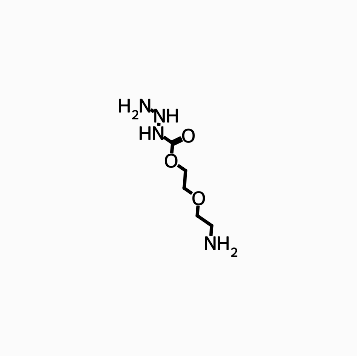 NCCOCCOC(=O)NNN